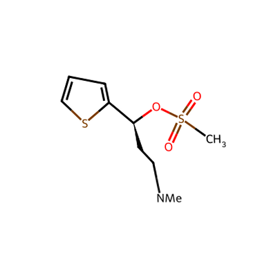 CNCC[C@H](OS(C)(=O)=O)c1cccs1